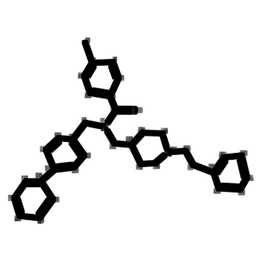 Cc1ccc(C(=O)N(Cc2ccc(-c3ccccc3)cc2)CC2CCN(CCc3ccccc3)CC2)cc1